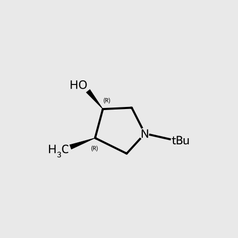 C[C@@H]1CN(C(C)(C)C)C[C@@H]1O